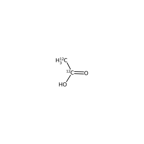 [12CH3][12C](=O)O